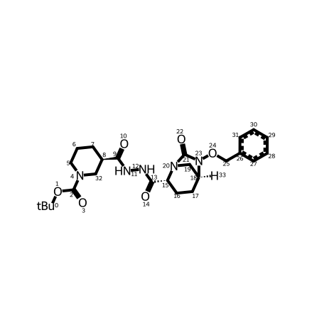 CC(C)(C)OC(=O)N1CCC[C@@H](C(=O)NNC(=O)[C@H]2CC[C@H]3CN2C(=O)N3OCc2ccccc2)C1